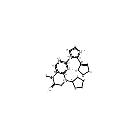 CN1C(=O)CN(C2CCCC2)c2nc(-n3ccnc3C3=CCCC3)ncc21